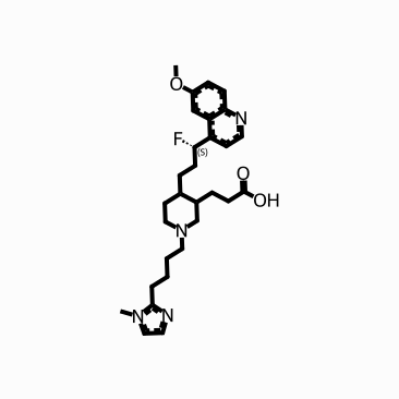 COc1ccc2nccc([C@@H](F)CCC3CCN(CCCCc4nccn4C)CC3CCC(=O)O)c2c1